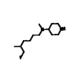 CC(CF)CCCCN(C)C1CCNCC1